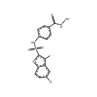 Cc1c(S(=O)(=O)Nc2ccc(C(=O)NO)cc2)sc2ccc(Cl)cc12